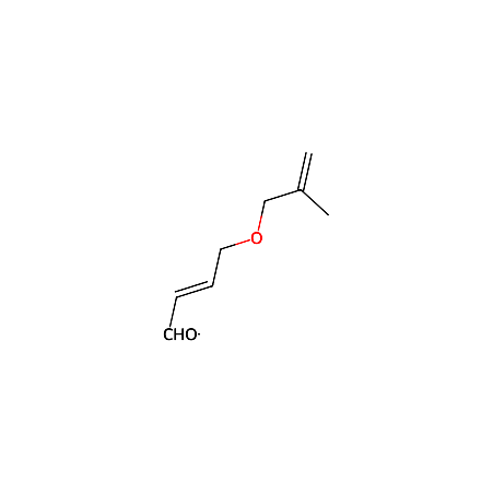 C=C(C)COCC=C[C]=O